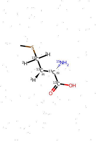 [2H][13C@H]([13C@H]([15NH2])[13C](=O)O)[13C]([2H])([2H])SC